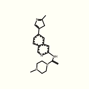 C=C(Nc1cc2cc(C3=CN=C(C)C3)ccc2cn1)N1CCN(C)CC1